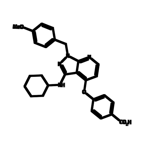 COc1ccc(Cn2nc(NC3CCCCC3)c3c(Oc4ccc(C(=O)O)cc4)ccnc32)cc1